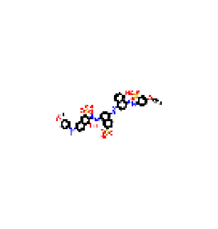 COc1ccc(Nc2ccc3c(O)c(N=Nc4ccc(N=Nc5ccc(N=Nc6ccc(OC)cc6S(=O)(=O)O)c6ccccc56)c5ccc(S(=O)(=O)O)cc45)c(S(=O)(=O)O)cc3c2)cc1